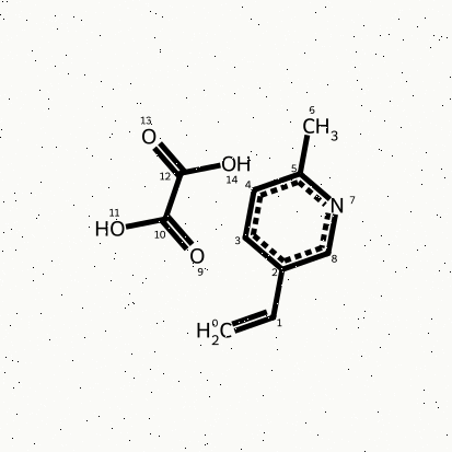 C=Cc1ccc(C)nc1.O=C(O)C(=O)O